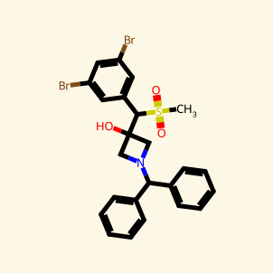 CS(=O)(=O)C(c1cc(Br)cc(Br)c1)C1(O)CN(C(c2ccccc2)c2ccccc2)C1